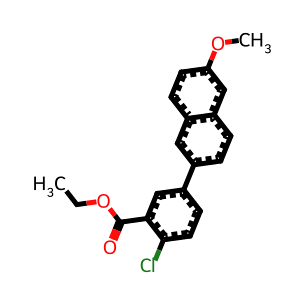 CCOC(=O)c1cc(-c2ccc3cc(OC)ccc3c2)ccc1Cl